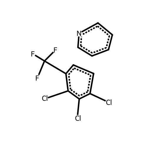 FC(F)(F)c1ccc(Cl)c(Cl)c1Cl.c1ccncc1